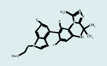 COCCn1ccc2c(-c3c(Cl)cc4c(c3F)-n3c(C)nnc3C(C)(C)N4)cc(F)cc21